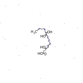 CC/C=C\C/C=C\C[C@H](O)[C@H](O)/C=C/C=C/C=C\C=C\[C@@H](O)CCC(=O)O